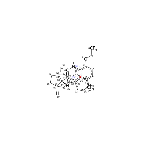 C/N=c1/c(OCC(F)(F)F)ccc(C(F)(F)F)n1/N=N/[C@@H]1[C@@H]2CC[C@H]1CN(c1ccncc1F)C2